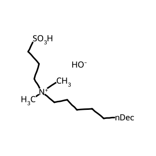 CCCCCCCCCCCCCCC[N+](C)(C)CCCS(=O)(=O)O.[OH-]